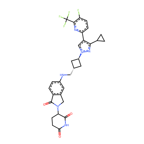 O=C1CCC(N2Cc3cc(NC[C@H]4C[C@H](n5cc(-c6ccc(F)c(C(F)(F)F)n6)c(C6CC6)n5)C4)ccc3C2=O)C(=O)N1